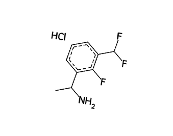 CC(N)c1cccc(C(F)F)c1F.Cl